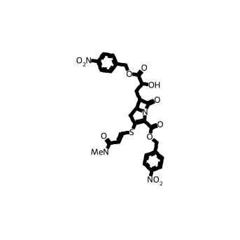 CNC(=O)C=CSC1=C(C(=O)OCc2ccc([N+](=O)[O-])cc2)N2C(=O)C(CC(O)C(=O)OCc3ccc([N+](=O)[O-])cc3)C2C1